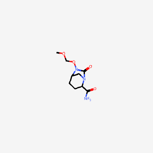 COCON1C(=O)N2CC1CCC2C(N)=O